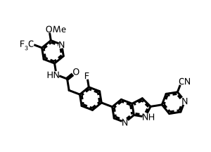 COc1ncc(NC(=O)Cc2ccc(-c3cnc4[nH]c(-c5ccnc(C#N)c5)cc4c3)cc2F)cc1C(F)(F)F